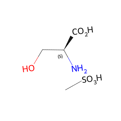 CS(=O)(=O)O.N[C@@H](CO)C(=O)O